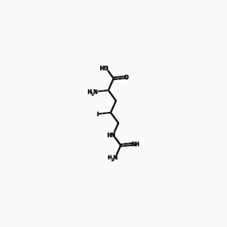 N=C(N)NCC(I)CC(N)C(=O)O